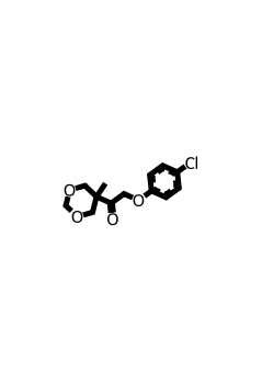 CC1(C(=O)COc2ccc(Cl)cc2)COCOC1